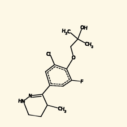 CC1CCNN=C1c1cc(F)c(OCC(C)(C)O)c(Cl)c1